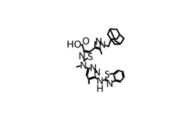 Cc1cc(N(C)c2nc(C(=O)O)c(-c3cnn(CC45CC6CC(CC(C6)C4)C5)c3C)s2)nnc1Nc1nc2ccccc2s1